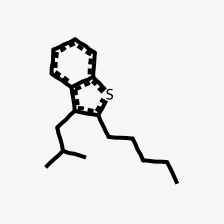 CCCCCc1sc2ccccc2c1CC(C)C